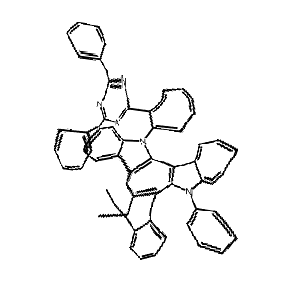 CC1(C)c2ccccc2-c2c1c1c3ccccc3n(-c3ccccc3-c3nc(-c4ccccc4)nc(-c4ccccc4)n3)c1c1c3ccccc3n(-c3ccccc3)c21